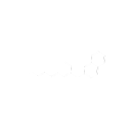 C=C\C(=C/C=N/C=C/C(=O)OCC)Oc1ccc2ccncc2c1